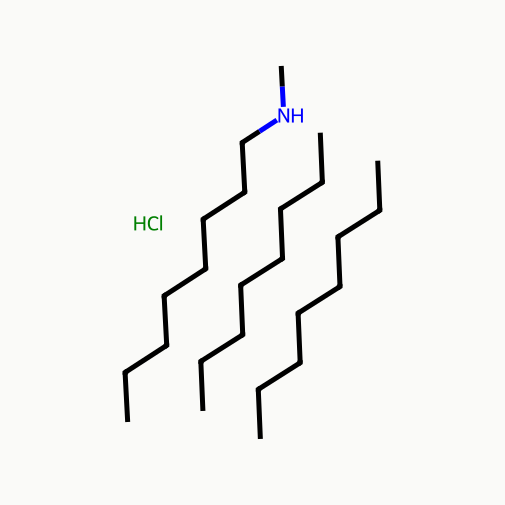 CCCCCCCC.CCCCCCCC.CCCCCCCCNC.Cl